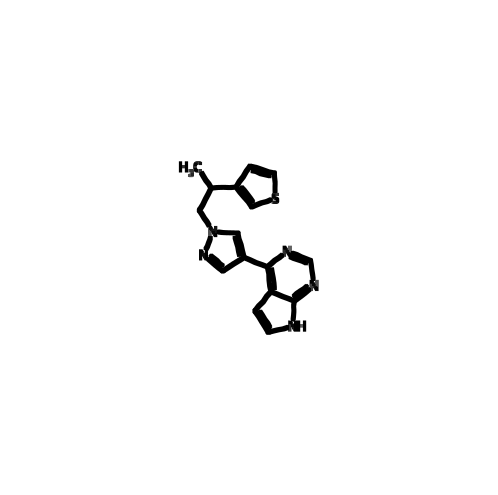 CC(Cn1cc(-c2ncnc3[nH]ccc23)cn1)c1ccsc1